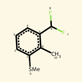 CSc1cccc(C(F)F)c1C